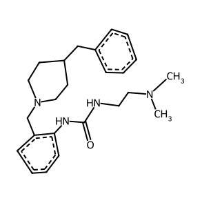 CN(C)CCNC(=O)Nc1ccccc1CN1CCC(Cc2ccccc2)CC1